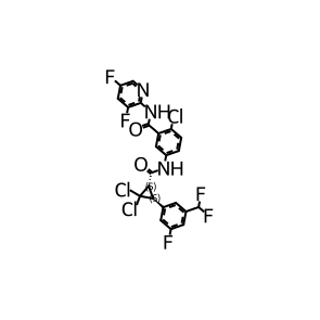 O=C(Nc1ncc(F)cc1F)c1cc(NC(=O)[C@@H]2[C@@H](c3cc(F)cc(C(F)F)c3)C2(Cl)Cl)ccc1Cl